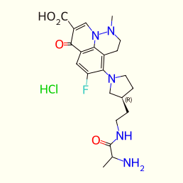 CC(N)C(=O)NCC[C@@H]1CCN(c2c(F)cc3c(=O)c(C(=O)O)cn4c3c2CCN4C)C1.Cl